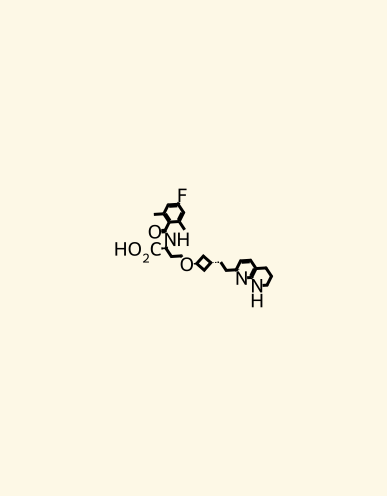 Cc1cc(F)cc(C)c1C(=O)N[C@@H](CCO[C@H]1C[C@@H](CCc2ccc3c(n2)NCCC3)C1)C(=O)O